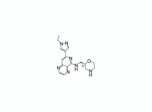 CCn1cc(-c2cc3nccnc3c(NC[C@@H]3CNCCO3)n2)cn1